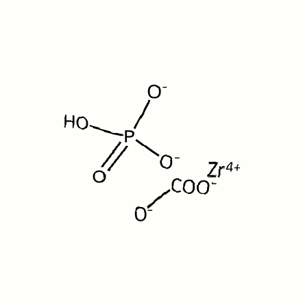 O=C([O-])[O-].O=P([O-])([O-])O.[Zr+4]